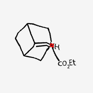 CCOC(=O)C=C1C2CNCC1C2